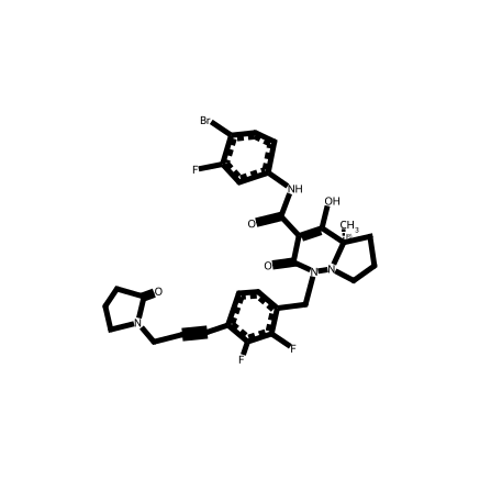 C[C@]12CCCN1N(Cc1ccc(C#CCN3CCCC3=O)c(F)c1F)C(=O)C(C(=O)Nc1ccc(Br)c(F)c1)=C2O